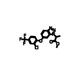 COC(=O)C(C)n1nnc2ccc(Oc3ccc(C(F)(F)F)cc3Cl)cc21